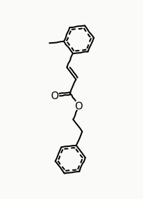 Cc1ccccc1/C=C/C(=O)OCCc1ccccc1